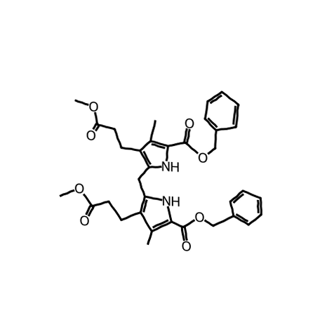 COC(=O)CCc1c(Cc2[nH]c(C(=O)OCc3ccccc3)c(C)c2CCC(=O)OC)[nH]c(C(=O)OCc2ccccc2)c1C